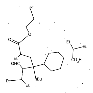 CCC(CC)C(=O)O.CCCCC(CC(CC)C(=O)OCCC(C)C)(C1CCCCC1)C(C=O)C(CC)CC